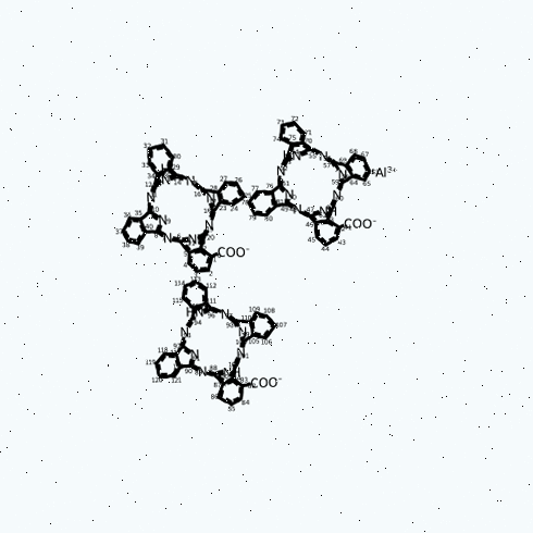 O=C([O-])c1cccc2c3nc4nc(nc5[nH]c(nc6nc(nc([nH]3)c12)-c1ccccc1-6)c1ccccc51)-c1ccccc1-4.O=C([O-])c1cccc2c3nc4nc(nc5[nH]c(nc6nc(nc([nH]3)c12)-c1ccccc1-6)c1ccccc51)-c1ccccc1-4.O=C([O-])c1cccc2c3nc4nc(nc5[nH]c(nc6nc(nc([nH]3)c12)-c1ccccc1-6)c1ccccc51)-c1ccccc1-4.[Al+3]